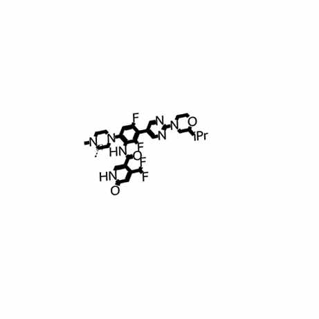 CC(C)C1CN(c2ncc(-c3c(F)cc(N4CCN(C)[C@@H](C)C4)c(NC(=O)c4c[nH]c(=O)cc4C(F)F)c3F)cn2)CCO1